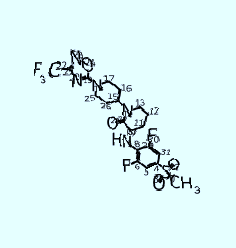 CS(=O)(=O)c1cc(F)c(N[C@H]2CCCN(C3CCN(c4nc(C(F)(F)F)no4)CC3)C2=O)c(F)c1